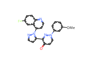 COc1cccc(-n2ccc(=O)c(-c3ccnn3-c3ccnc4ccc(F)cc34)n2)c1